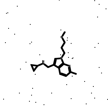 COCCCn1cc(CNC2CC2)c2ccc(C)nc21